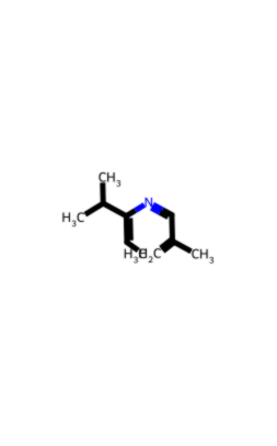 C=C(C)/C=N\C(=C/C)C(C)C